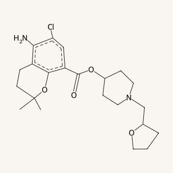 CC1(C)CCc2c(N)c(Cl)cc(C(=O)OC3CCN(CC4CCCO4)CC3)c2O1